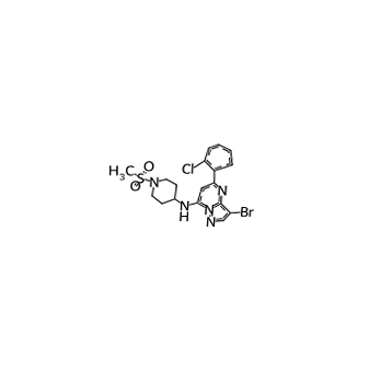 CS(=O)(=O)N1CCC(Nc2cc(-c3ccccc3Cl)nc3c(Br)cnn23)CC1